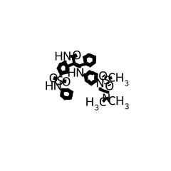 CN(C)CCN(c1ccc(NC(=C2C(=O)Nc3ccc(S(=O)(=O)Nc4ccccc4)cc32)c2ccccc2)cc1)S(C)(=O)=O